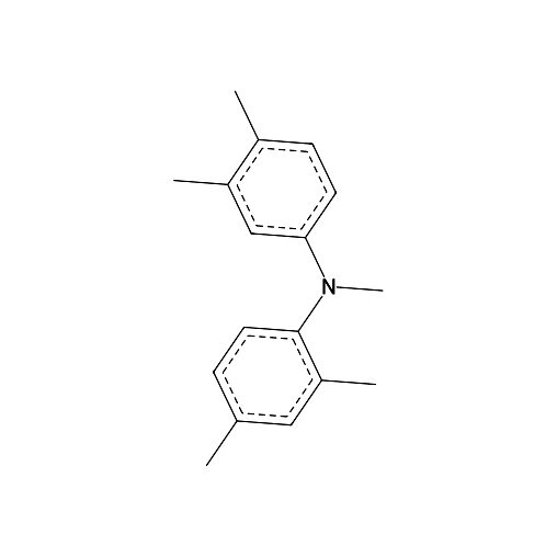 Cc1ccc(N(C)c2ccc(C)c(C)c2)c(C)c1